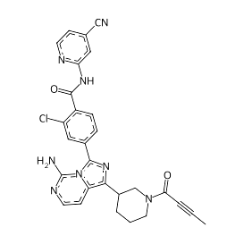 CC#CC(=O)N1CCCC(c2nc(-c3ccc(C(=O)Nc4cc(C#N)ccn4)c(Cl)c3)n3c(N)nccc23)C1